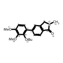 COc1ccc(-c2ccc3c(c2)CN(C)C3=O)c(OCC(C)C)c1OC